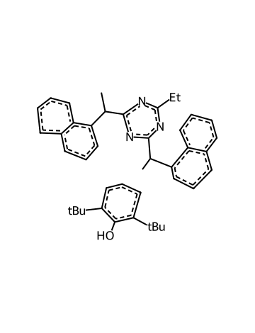 CC(C)(C)c1cccc(C(C)(C)C)c1O.CCc1nc(C(C)c2cccc3ccccc23)nc(C(C)c2cccc3ccccc23)n1